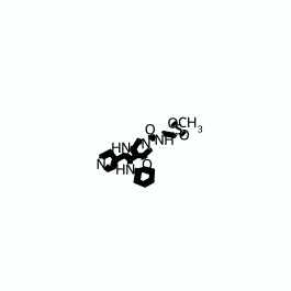 CS(=O)(=O)CCNC(=O)N1CC(=O)c2c([nH]c(-c3ccncc3)c2Nc2ccccc2)C1